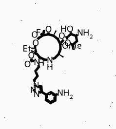 CC[C@H]1OC(=O)C(C)(F)C(=O)[C@@H](C)[C@@H](O[C@@H]2OC(C)CC(N)C2O)[C@](C)(OC)C[C@@H](C)CN[C@H](C)[C@H]2N(CCCCn3cc(-c4cccc(N)c4)nn3)C(=O)O[C@]12C